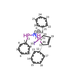 CCCCN(Pc1ccccc1)[PH]1(I)[C@@H](c2ccccc2)C=C[C@H]1c1ccccc1